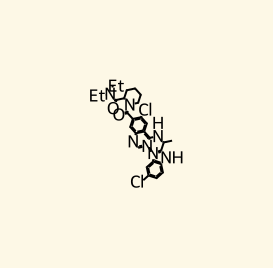 CCN(CC)C(=O)C1CCCCN1C(=O)c1cc2ncnc(NC(C)c3nc4cc(Cl)ccc4[nH]3)c2cc1Cl